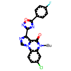 CCC(C)n1c(=O)c2c(-c3noc(-c4ccc(F)cc4)n3)ncn2c2ccc(Cl)cc21